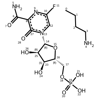 CCCCN.NC(=O)c1nc(F)cn([C@@H]2O[C@H](COP(=O)(O)O)[C@@H](O)[C@H]2O)c1=O